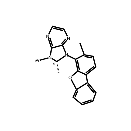 Cc1ccc2c(oc3ccccc32)c1N1c2nccnc2N(C(C)C)[C@H]1C